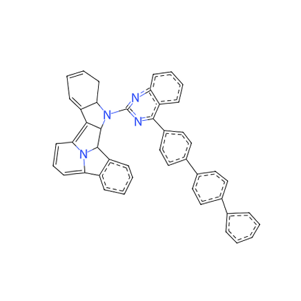 C1=CCC2C(=C1)C1=C3C=CC=C4c5ccccc5C(C1N2c1nc(-c2ccc(-c5ccc(-c6ccccc6)cc5)cc2)c2ccccc2n1)N43